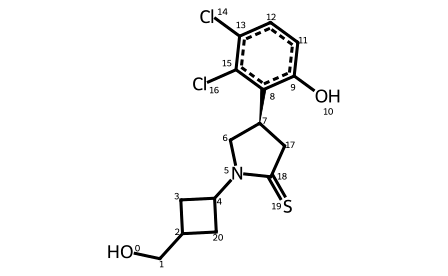 OCC1CC(N2C[C@@H](c3c(O)ccc(Cl)c3Cl)CC2=S)C1